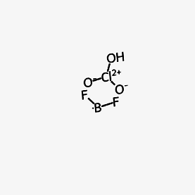 F[B]F.[O-][Cl+2]([O-])O